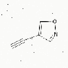 C#Cc1cnoc1